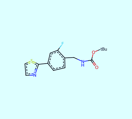 CC(C)(C)OC(=O)NCc1ccc(-c2nccs2)cc1F